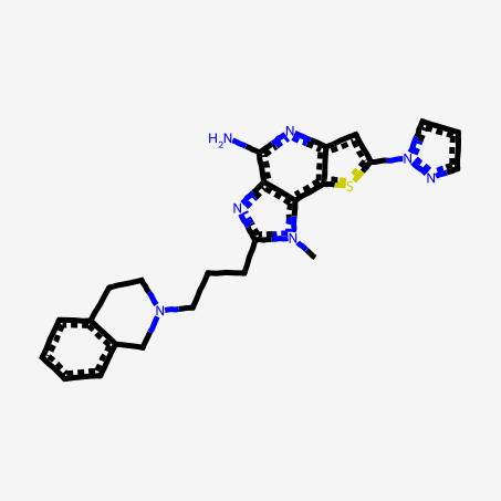 Cn1c(CCCN2CCc3ccccc3C2)nc2c(N)nc3cc(-n4cccn4)sc3c21